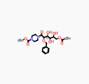 CC(C)(C)OC(=O)N1CCN(C(=O)[C@H](OCc2ccccc2)[C@@H](O)[C@H](O)C(O)COC(=O)C(C)(C)C)CC1